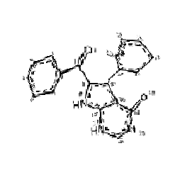 O=C(c1ccccc1)c1[nH]c2[nH]cnc(=O)c2c1-c1ccccc1